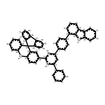 c1ccc(-c2cc(-c3ccc(-c4cccc5c4oc4ccccc45)cc3)nc(-c3ccc4c(c3)C3(c5ccccc5O4)c4ccccc4-c4ccccc43)n2)cc1